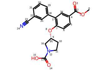 COC(=O)c1ccc(O[C@@H]2CCN(C(=O)O)C2)c(-c2cccc(C#N)c2)c1